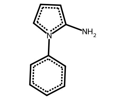 Nc1cccn1-c1ccccc1